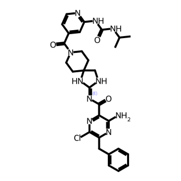 CC(C)NC(=O)Nc1cc(C(=O)N2CCC3(CC2)CN/C(=N\C(=O)c2nc(Cl)c(Cc4ccccc4)nc2N)N3)ccn1